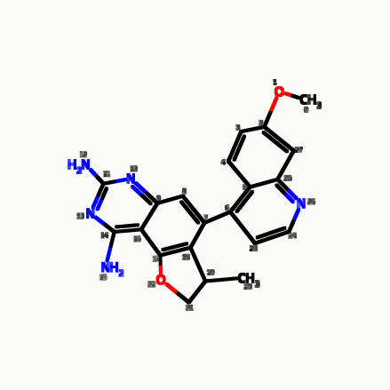 COc1ccc2c(-c3cc4nc(N)nc(N)c4c4c3C(C)CO4)ccnc2c1